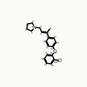 CC(=CCN1CCCC1)c1ccc(Oc2ccccc2Cl)cc1